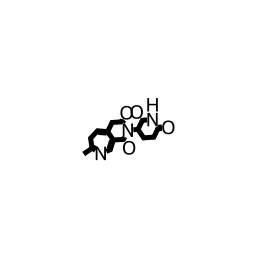 CC1=NC=C2C(=O)N(C3CCC(=O)NC3=O)C(=O)CC2=CC1